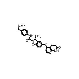 CNCc1ccc(NC(=O)N2Oc3ccc(Oc4ccnc5c4CCC(=O)N5)cc3[C@@H]2C)cc1